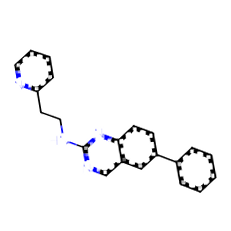 c1ccc(-c2ccc3nc(NCCc4ccccn4)ncc3c2)cc1